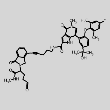 CNC(=O)C(CCC=O)N1Cc2c(C#CCCCNC(=O)c3cc4c(=O)n(C)cc(-c5cc(C(C)(C)O)ccc5Oc5c(C)cc(F)cc5C)c4[nH]3)cccc2C1=O